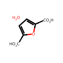 O.O=C(O)c1ccc(C(=O)O)o1